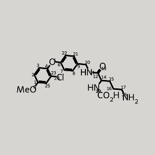 COc1ccc(Oc2ccc(CNC(=O)C(CCCN)NC(=O)O)cc2)c(Cl)c1